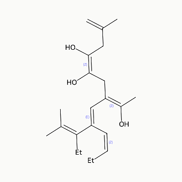 C=C(C)C/C(O)=C(/O)CC(/C=C(\C=C/CC)C(CC)=C(C)C)=C(\C)O